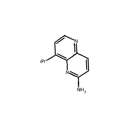 CC(C)c1ccnc2ccc(N)nc12